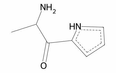 CC(N)C(=O)c1ccc[nH]1